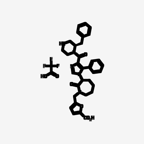 O=C(O)C(F)(F)F.O=C(O)c1ccc(CN2CCCCC(n3cnc(C(=O)N4CCNC[C@H]4Cc4ccccc4)c3-c3ccccc3)C2=O)o1